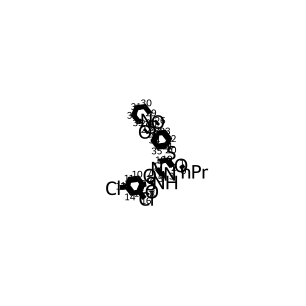 CCCOc1nc(NS(=O)(=O)c2ccc(Cl)cc2Cl)ncc1Sc1ccc(S(=O)(=O)N2CCCCC2)cc1